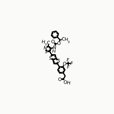 Cc1nsc(-c2cc3sc(-c4ccc(CC(=O)O)cc4OC(F)(F)F)cc3s2)c1NC(=O)O[C@H](C)c1ccccc1